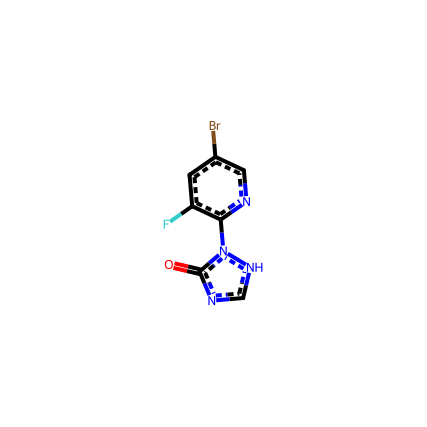 O=c1nc[nH]n1-c1ncc(Br)cc1F